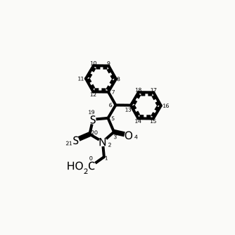 O=C(O)CN1C(=O)C(C(c2ccccc2)c2ccccc2)SC1=S